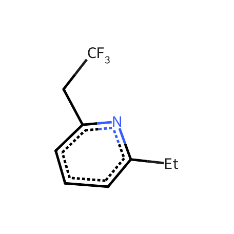 CCc1cccc(CC(F)(F)F)n1